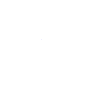 CNc1ccc2nc(-c3cccc(F)c3)nc(-n3ccc4cnccc43)c2c1